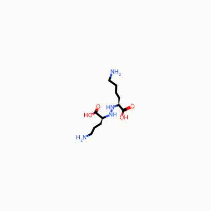 NCCCC[C@H](NN[C@@H](CCCN)C(=O)O)C(=O)O